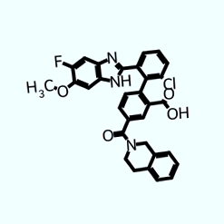 COc1cc2[nH]c(-c3cccc(Cl)c3-c3ccc(C(=O)N4CCc5ccccc5C4)cc3C(=O)O)nc2cc1F